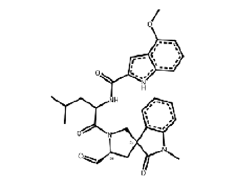 COc1cccc2[nH]c(C(=O)NC(CC(C)C)C(=O)N3C[C@]4(C[C@H]3C=O)C(=O)N(C)c3ccccc34)cc12